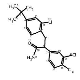 CC(C)(C)c1ccc(CC(C(N)=O)c2ccc(Cl)c(Cl)c2)c(Cl)c1